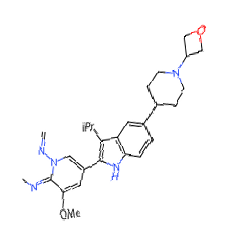 C=Nn1cc(-c2[nH]c3ccc(C4CCN(C5COC5)CC4)cc3c2C(C)C)cc(OC)/c1=N/C